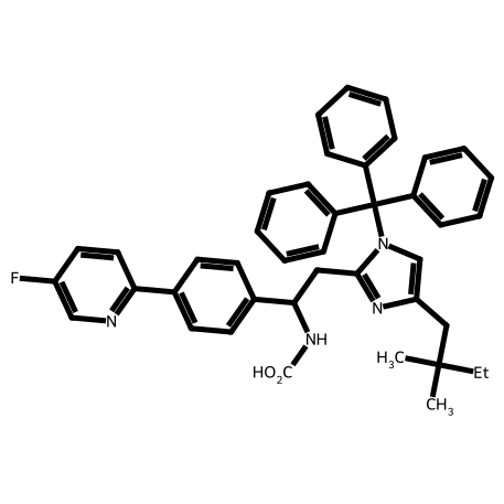 CCC(C)(C)Cc1cn(C(c2ccccc2)(c2ccccc2)c2ccccc2)c(CC(NC(=O)O)c2ccc(-c3ccc(F)cn3)cc2)n1